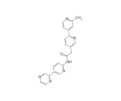 Cc1cc(-c2ccc(CC(=O)Nc3ccc(-c4cnccn4)cn3)cn2)ccn1